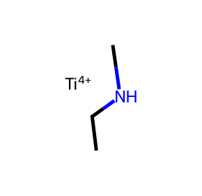 CCNC.[Ti+4]